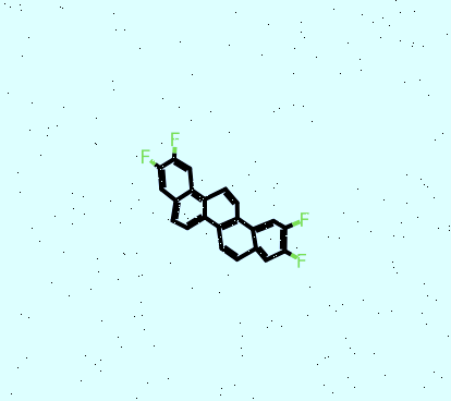 Fc1cc2ccc3c(ccc4c5cc(F)c(F)cc5ccc43)c2cc1F